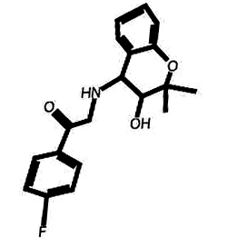 CC1(C)Oc2ccccc2C(NCC(=O)c2ccc(F)cc2)C1O